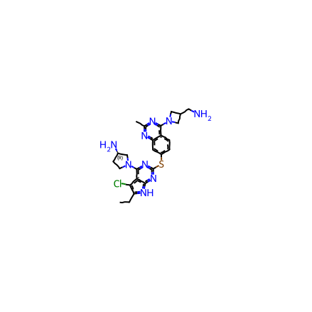 CCc1[nH]c2nc(Sc3ccc4c(N5CC(CN)C5)nc(C)nc4c3)nc(N3CC[C@@H](N)C3)c2c1Cl